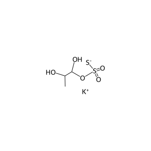 CC(O)C(O)OS(=O)(=O)[S-].[K+]